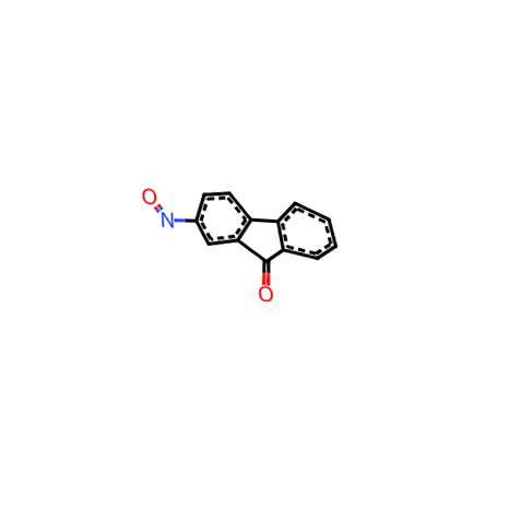 O=Nc1ccc2c(c1)C(=O)c1ccccc1-2